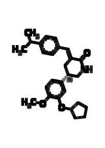 COc1ccc([C@H]2CNC(=O)C(=Cc3ccc(C(C)C)cc3)C2)cc1OC1CCCC1